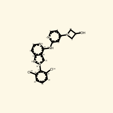 OC1CN(c2ccnc(Nc3nccc4nn(-c5c(Cl)cccc5Cl)cc34)c2)C1